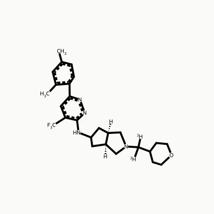 [2H]C([2H])(C1CCOCC1)N1C[C@H]2CC(Nc3nnc(-c4ccc(C)cc4C)cc3C(F)(F)F)C[C@H]2C1